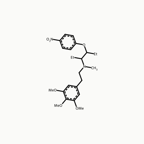 CCC(Oc1ccc([N+](=O)[O-])cc1)C(CC)N(C)CCc1cc(OC)c(OC)c(OC)c1